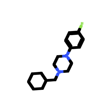 Fc1ccc(N2CCN(CC3CCCCC3)CC2)cc1